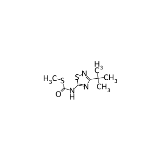 CSC(=O)Nc1nc(C(C)(C)C)ns1